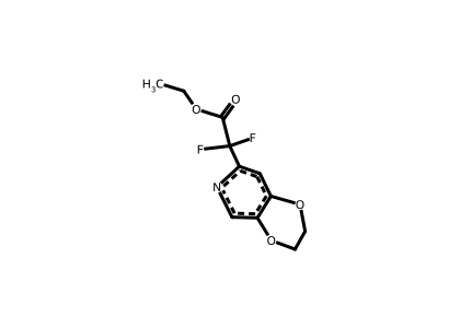 CCOC(=O)C(F)(F)c1cc2c(cn1)OCCO2